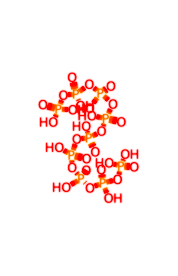 O=P(O)(O)OP(=O)(O)OP(=O)(O)OP(=O)(O)OP(=O)(O)OP(=O)(O)OP(=O)(O)OP(=O)(O)OP(=O)(O)O